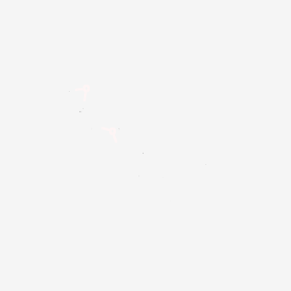 Cc1ccc(CCCOCC2CO2)cc1